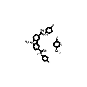 Cn1c2ccc(C(=N)Nc3ccc(F)cc3)cc2c2cc(C(=N)Nc3ccc(F)cc3)ccc21.I.Nc1ccc(F)cc1